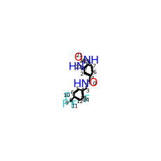 O=C(NCc1ccc(C(F)(F)F)cc1F)c1ccc2[nH]c(=O)[nH]c2c1